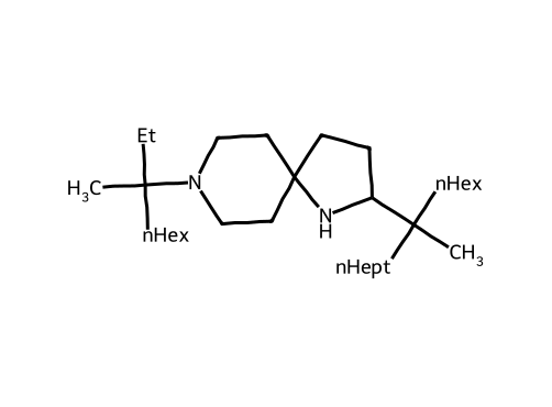 CCCCCCCC(C)(CCCCCC)C1CCC2(CCN(C(C)(CC)CCCCCC)CC2)N1